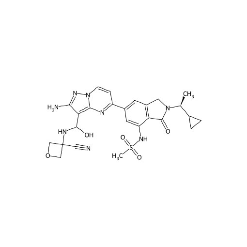 C[C@@H](C1CC1)N1Cc2cc(-c3ccn4nc(N)c(C(O)NC5(C#N)COC5)c4n3)cc(NS(C)(=O)=O)c2C1=O